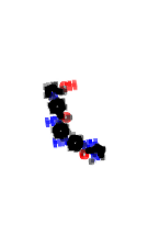 Cn1cccc1C(=O)Nc1ccc(Nc2ccc(NC(=O)c3ccc(N4CCCC4CO)cc3)cc2)cc1